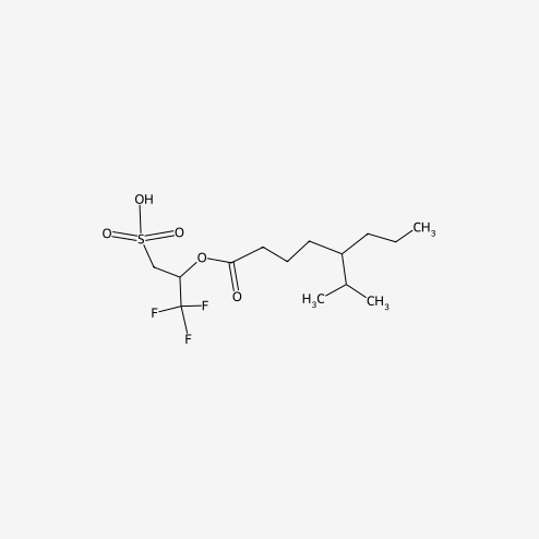 CCCC(CCCC(=O)OC(CS(=O)(=O)O)C(F)(F)F)C(C)C